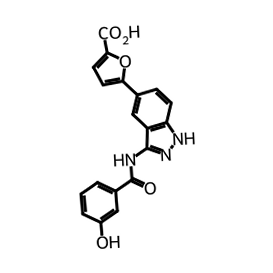 O=C(Nc1n[nH]c2ccc(-c3ccc(C(=O)O)o3)cc12)c1cccc(O)c1